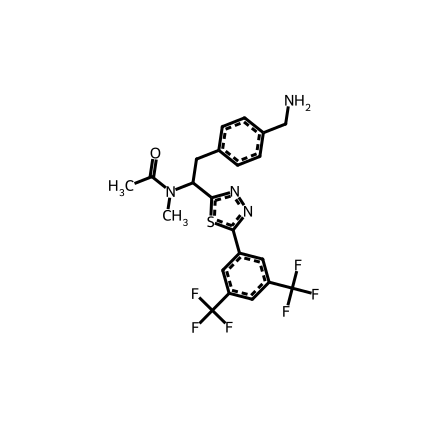 CC(=O)N(C)C(Cc1ccc(CN)cc1)c1nnc(-c2cc(C(F)(F)F)cc(C(F)(F)F)c2)s1